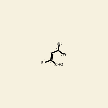 CCC(C=O)=CC(CC)CC